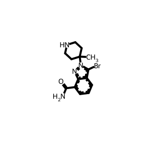 CC1(n2nc3c(C(N)=O)cccc3c2Br)CCNCC1